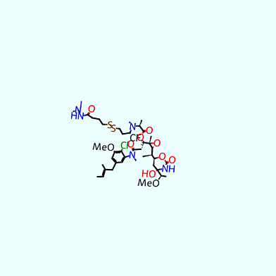 C/C=C(\C)Cc1cc(OC)c(Cl)c(N(C)C(=O)C[C@H](OC(=O)[C@H](C)N(C)C(CCSSCCCC(=O)NN(C)I)C(F)(F)F)[C@]2(C)O[C@H]2[C@H](C)[C@@H]2C[C@](O)([C@@H](C)OC)NC(=O)O2)c1